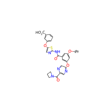 CC(C)Oc1cc(Oc2cnc(C(=O)N3CCC3)cn2)cc(C(=O)Nc2ncc(Oc3cccc(C(=O)O)c3)s2)c1